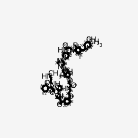 CNCC(=O)N[C@H](C(=O)N1CCC[C@H]1c1nc(C(=O)c2cccc(OCCNC(=O)CO[C@@H]3C[C@@H]4CN(c5cc(N6CCC7(CC6)CN(c6cc(F)c(CN8CCC(C)(C)CC8)cc6F)CC(=O)N7)ncn5)C[C@@H]4C3)c2)cs1)C1CCCCC1